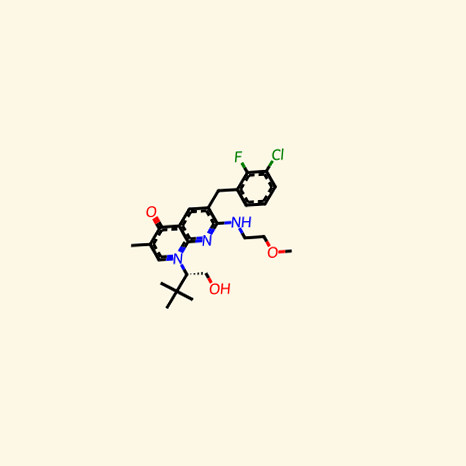 COCCNc1nc2c(cc1Cc1cccc(Cl)c1F)c(=O)c(C)cn2[C@H](CO)C(C)(C)C